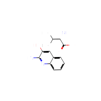 CC(C)[C@H](N)C(=O)O.Nc1nc2ccccc2cc1O